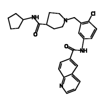 O=C(Nc1ccc(Cl)c(CN2CCC(C(=O)NC3CCCC3)CC2)c1)c1ccc2ncccc2c1